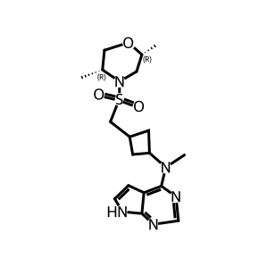 C[C@@H]1CN(S(=O)(=O)CC2CC(N(C)c3ncnc4[nH]ccc34)C2)[C@H](C)CO1